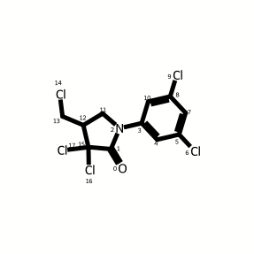 O=C1N(c2cc(Cl)cc(Cl)c2)CC(CCl)C1(Cl)Cl